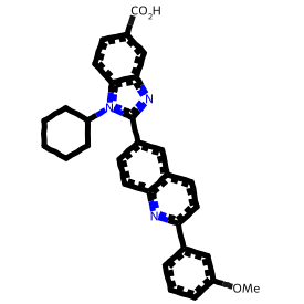 COc1cccc(-c2ccc3cc(-c4nc5cc(C(=O)O)ccc5n4C4CCCCC4)ccc3n2)c1